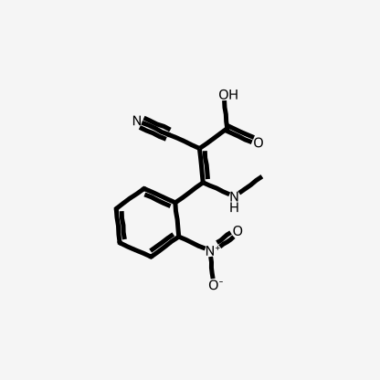 CN/C(=C(/C#N)C(=O)O)c1ccccc1[N+](=O)[O-]